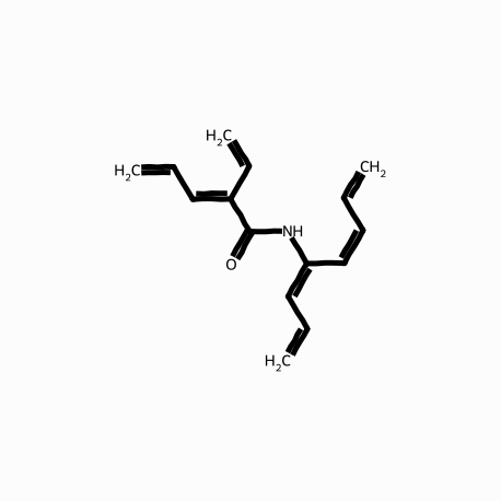 C=C/C=C\C(=C/C=C)NC(=O)/C(C=C)=C/C=C